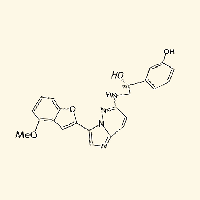 COc1cccc2oc(-c3cnc4ccc(NC[C@H](O)c5cccc(O)c5)nn34)cc12